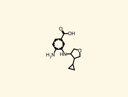 Nc1ccc(C(=O)O)cc1NC1COCC1C1CC1